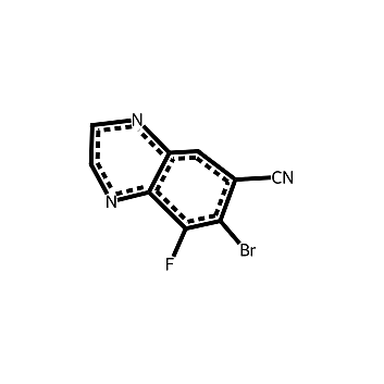 N#Cc1cc2nccnc2c(F)c1Br